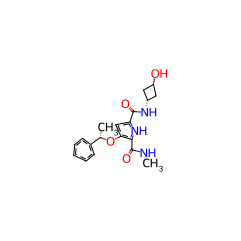 CNC(=O)c1[nH]c(C(=O)N[C@H]2C[C@H](O)C2)cc1O[C@@H](C)c1ccccc1